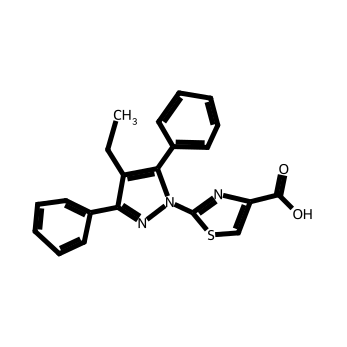 CCc1c(-c2ccccc2)nn(-c2nc(C(=O)O)cs2)c1-c1ccccc1